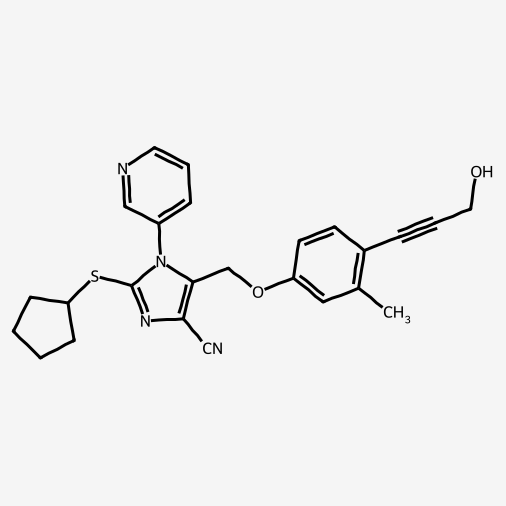 Cc1cc(OCc2c(C#N)nc(SC3CCCC3)n2-c2cccnc2)ccc1C#CCO